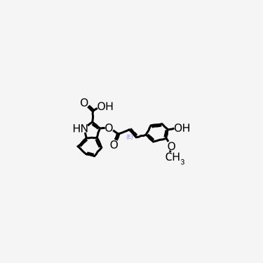 COc1cc(/C=C/C(=O)Oc2c(C(=O)O)[nH]c3ccccc23)ccc1O